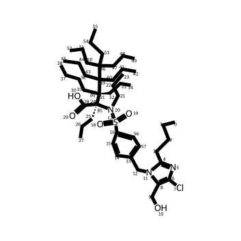 CCCCc1nc(Cl)c(CO)n1Cc1ccc(S(=O)(=O)N(CCC)[C@@](CCC)(C(=O)O)[C@](CCC)(CCCC)C(CCC)(CCC)C(CCC)(CCC)CCC)cc1